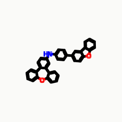 c1ccc2c(c1)Oc1ccccc1-c1cc(Nc3ccc(-c4ccc5oc6ccccc6c5c4)cc3)ccc1-2